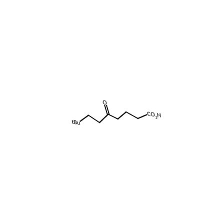 CC(C)(C)CCC(=O)CCCC(=O)O